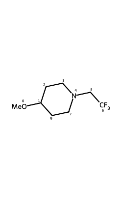 COC1CCN(CC(F)(F)F)CC1